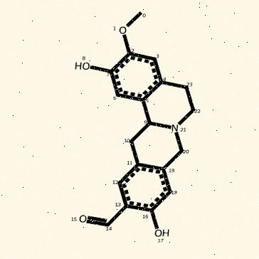 COc1cc2c(cc1O)C1Cc3cc(C=O)c(O)cc3CN1CC2